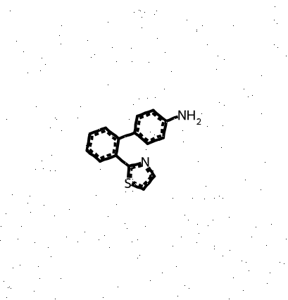 Nc1ccc(-c2ccccc2-c2nccs2)cc1